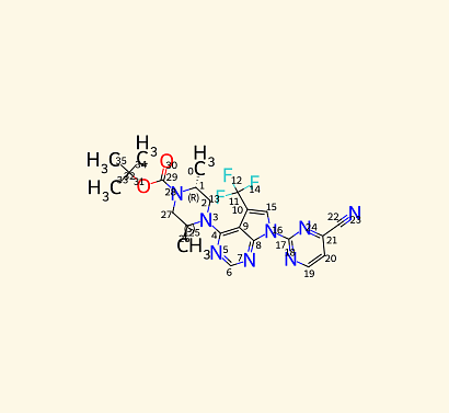 C[C@@H]1CN(c2ncnc3c2c(C(F)(F)F)cn3-c2nccc(C#N)n2)[C@@H](C)CN1C(=O)OC(C)(C)C